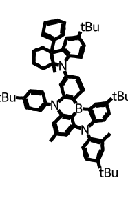 Cc1cc2c3c(c1)N(c1ccc(C(C)(C)C)cc1C)c1ccc(C(C)(C)C)cc1B3c1ccc(N3c4ccc(C(C)(C)C)cc4C4(c5ccccc5)CCCCC34C)cc1N2c1ccc(C(C)(C)C)cc1